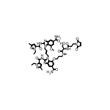 CCn1nc(C)cc1C(=O)Nc1nc2cc(C(N)=O)cc(OC)c2n1C/C=C/Cn1c(NC(=O)c2cc(C)nn2CC)nc2cc(C(N)=O)cc(OCCCN(C)C(=O)C(CO)NC(=O)CCN3C(=O)C=CC3=O)c21